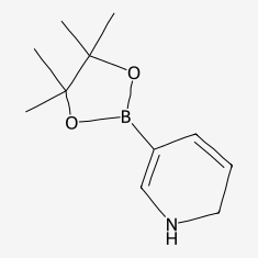 CC1(C)OB(C2=CNCC=C2)OC1(C)C